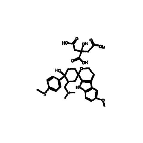 COc1ccc2[nH]c3c(c2c1)CCOC31CCC(O)(c2ccc(SC)cc2)C(CN(C)C)C1.O=C(O)CC(O)(CC(=O)O)C(=O)O